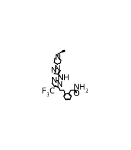 C#CCN1CCC(n2cc(Nc3ncc(C(F)(F)F)c(CCc4ccccc4CC(N)=O)n3)cn2)CC1